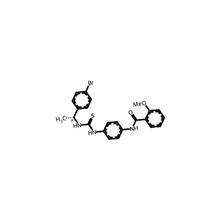 COc1ccccc1C(=O)Nc1ccc(NC(=S)N[C@H](C)c2ccc(Br)cc2)cc1